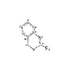 FC1=Nc2ccccc2CC1